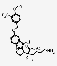 CC(=O)OC(=O)[C@@](N)(CCCCN)[C@H]1CCn2c1c(Cl)c1cc(OCc3ccc(OC(C)C)c(C(F)(F)F)c3)ccc12